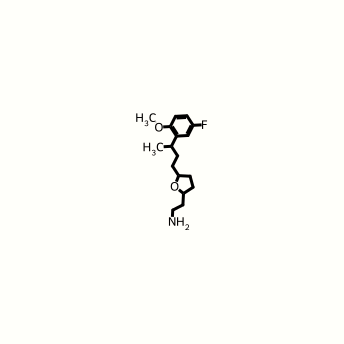 COc1ccc(F)cc1C(C)CCC1CCC(CCN)O1